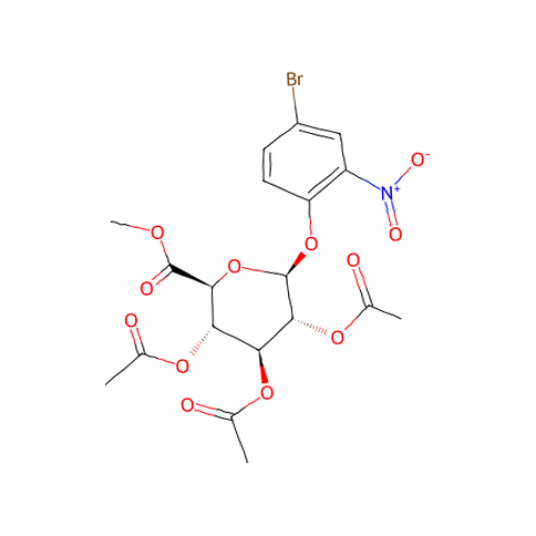 COC(=O)[C@H]1O[C@@H](Oc2ccc(Br)cc2[N+](=O)[O-])[C@H](OC(C)=O)[C@@H](OC(C)=O)[C@@H]1OC(C)=O